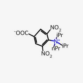 CCC[N+](c1c([N+](=O)[O-])cc(C(=O)[O-])cc1[N+](=O)[O-])(C(C)C)C(C)C